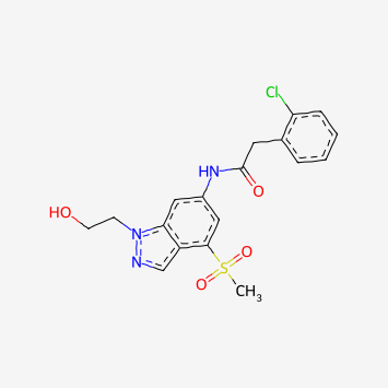 CS(=O)(=O)c1cc(NC(=O)Cc2ccccc2Cl)cc2c1cnn2CCO